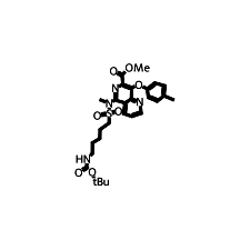 COC(=O)c1nc(N(C)S(=O)(=O)CCCCCNC(=O)OC(C)(C)C)c2cccnc2c1Oc1ccc(C)cc1